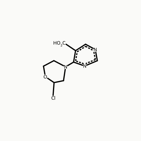 O=C(O)c1cncnc1N1CCOC(Cl)C1